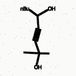 CCCCC(O)C#CC(C)(C)O